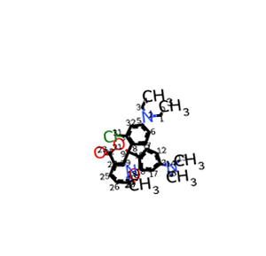 CCN(CC)c1ccc(C2(c3ccc(N(C)C)cc3OC)OC(=O)c3cccnc32)c(Cl)c1